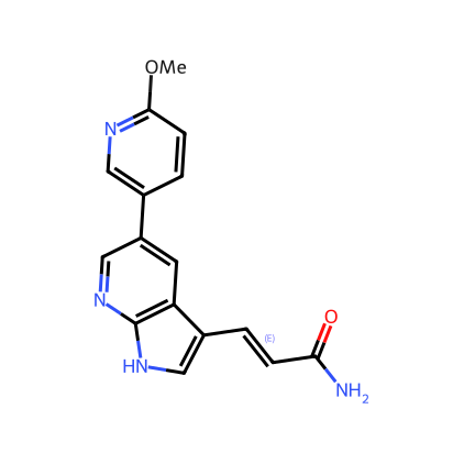 COc1ccc(-c2cnc3[nH]cc(/C=C/C(N)=O)c3c2)cn1